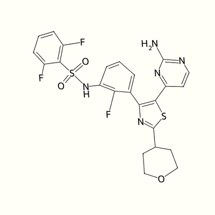 Nc1nccc(-c2sc(C3CCOCC3)nc2-c2cccc(NS(=O)(=O)c3c(F)cccc3F)c2F)n1